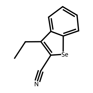 CCc1c(C#N)[se]c2ccccc12